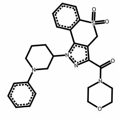 O=C(c1nn(C2CCCN(c3ccccc3)C2)c2c1CS(=O)(=O)c1ccccc1-2)N1CCOCC1